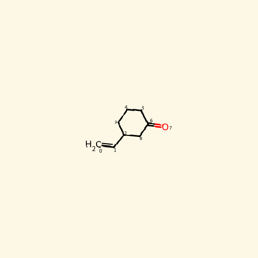 C=CC1CCCC(=O)C1